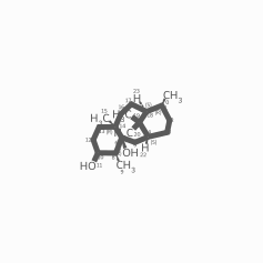 C[C@@H]1CC[C@H]2C[C@]3(O)[C@H](C)C(O)CC[C@@]3(C)CC[C@@H]1C2(C)C